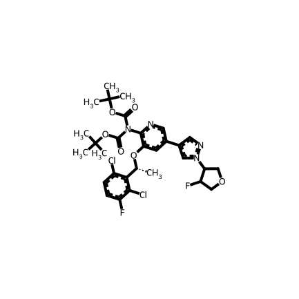 C[C@@H](Oc1cc(-c2cnn(C3COCC3F)c2)cnc1N(C(=O)OC(C)(C)C)C(=O)OC(C)(C)C)c1c(Cl)ccc(F)c1Cl